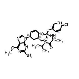 C/C=C(\C=C/CCl)O[PH](O)(N[C@@H](C)C(=O)OC(C)C)OC[C@@H]1CC=C[C@H](n2cnc3c(OC)nc(N)nc32)C1